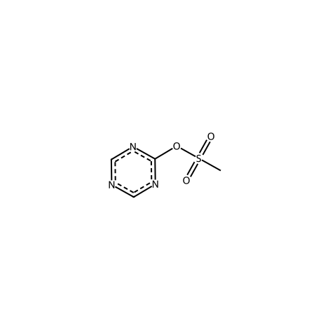 CS(=O)(=O)Oc1ncncn1